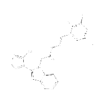 Nc1nonc1-c1nc2ccccc2n1CC(=O)NN=Cc1cc(Br)cc(Br)c1O